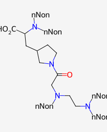 CCCCCCCCCN(CCCCCCCCC)CCN(CCCCCCCCC)CC(=O)N1CCC(CC(C(=O)O)N(CCCCCCCCC)CCCCCCCCC)C1